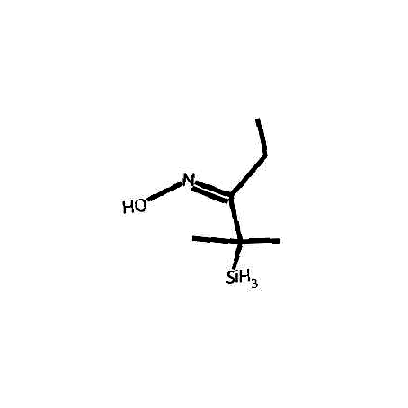 CCC(=NO)C(C)(C)[SiH3]